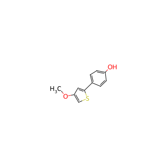 COc1csc(-c2ccc(O)cc2)c1